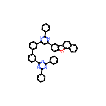 c1ccc(-c2nc(-c3cccc(-c4cccc(-c5nc(-c6ccccc6)nc(-c6ccccc6)n5)c4)c3)cc(-c3ccc4oc5c6ccccc6ccc5c4c3)n2)cc1